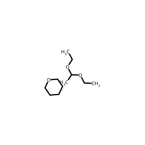 C1CCOCC1.CCOC(C)OCC